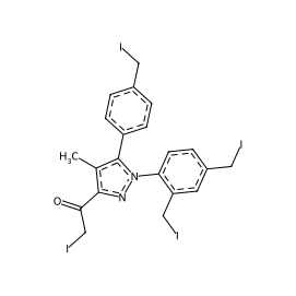 Cc1c(C(=O)CI)nn(-c2ccc(CI)cc2CI)c1-c1ccc(CI)cc1